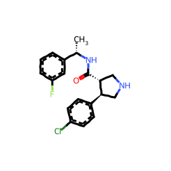 C[C@H](NC(=O)[C@@H]1CNC[C@H]1c1ccc(Cl)cc1)c1cccc(F)c1